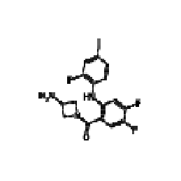 NC1CN(C(=O)c2cc(F)c(F)cc2Nc2ccc(I)cc2F)C1